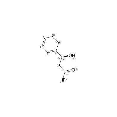 CC(C)C(=O)C[C@H](O)c1ccccc1